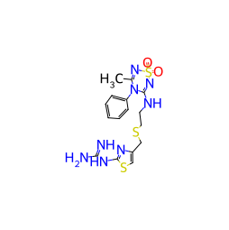 CC1=NS(=O)(=O)N=C(NCCSCc2csc(NC(=N)N)n2)N1c1ccccc1